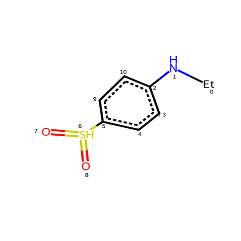 CCNc1[c]cc([SH](=O)=O)cc1